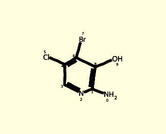 Nc1ncc(Cl)c(Br)c1O